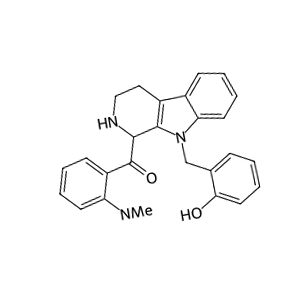 CNc1ccccc1C(=O)C1NCCc2c1n(Cc1ccccc1O)c1ccccc21